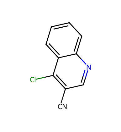 N#Cc1cnc2ccccc2c1Cl